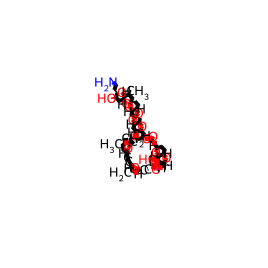 C=C1C[C@@H]2CC[C@@]34OC(C3CO)[C@@H]3O[C@H]5CC[C@H](CC(=O)O[C@@H]6CC7OC8C[C@]9(C[C@@H]%10O[C@@]%11(CC[C@@H]%10O9)C[C@H](C)[C@@H]9O[C@H](CCN)[C@H](O)C[C@@H]9O%11)O[C@@H]8C[C@@H]7O[C@H]6C[C@H]6O[C@@H](CC[C@@H]1O2)C[C@@H](C)C6=C)O[C@@H]5[C@H](O4)[C@@H]3I